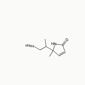 CCCCCCCC(C)C1(C)C=CC(=O)N1